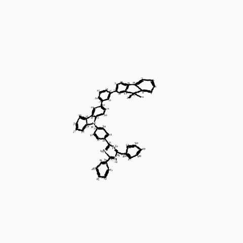 CC1(C)c2ccccc2-c2ccc(-c3cccc(-c4ccc5c(c4)c4ccccc4n5-c4ccc(-c5nc(-c6ccccc6)nc(-c6ccccc6)n5)cc4)c3)cc21